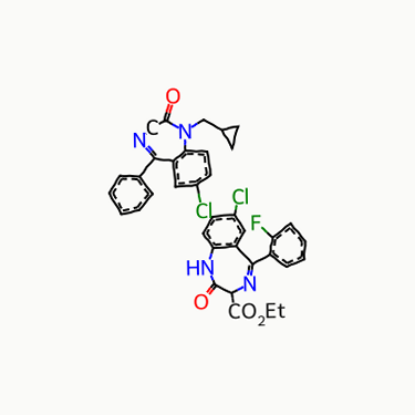 CCOC(=O)C1N=C(c2ccccc2F)c2cc(Cl)ccc2NC1=O.O=C1CN=C(c2ccccc2)c2cc(Cl)ccc2N1CC1CC1